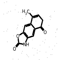 CC1=CCC(=O)c2cc3[nH]c(=O)oc3cc21